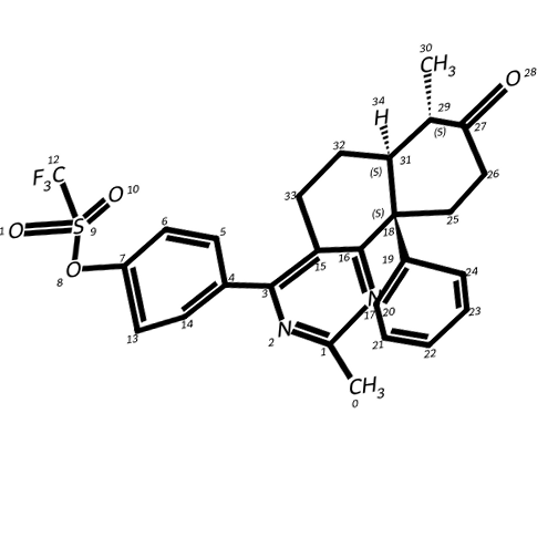 Cc1nc(-c2ccc(OS(=O)(=O)C(F)(F)F)cc2)c2c(n1)[C@@]1(c3ccccc3)CCC(=O)[C@@H](C)[C@@H]1CC2